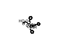 O=C(N[C@@H](Cc1ccccc1)C(=O)N[C@H](CCc1ccccc1)C(=O)[C@@H]1OC1C(=O)O)OCc1ccccc1